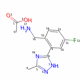 CC(=O)O.Cc1n[nH]c(-c2cc(F)ccc2CN)n1